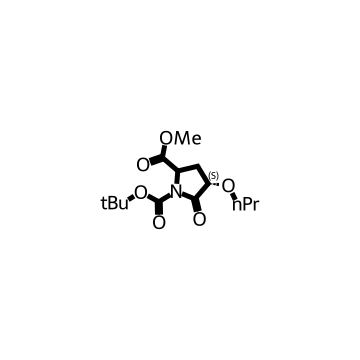 CCCO[C@H]1CC(C(=O)OC)N(C(=O)OC(C)(C)C)C1=O